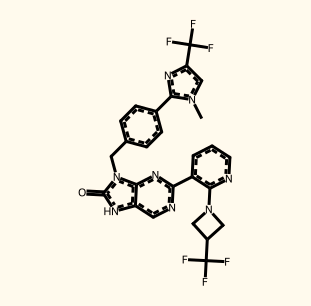 Cn1cc(C(F)(F)F)nc1-c1ccc(Cn2c(=O)[nH]c3cnc(-c4cccnc4N4CC(C(F)(F)F)C4)nc32)cc1